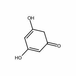 O=C1C=C(O)C=C(O)C1